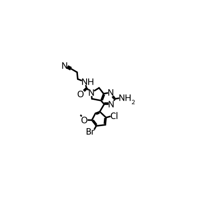 COc1cc(-c2nc(N)nc3c2CN(C(=O)NCCC#N)C3)c(Cl)cc1Br